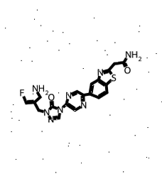 NC/C(=C\F)Cn1ncn(-c2cnc(-c3ccc4sc(CC(N)=O)nc4c3)cn2)c1=O